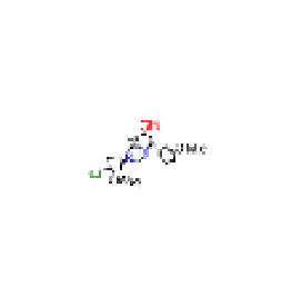 COc1cccc([C@H]2CC(O)C[C@@H]3CN(c4ccc(Cl)c(OC)c4)CCN32)c1